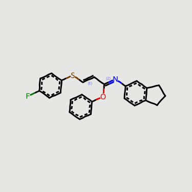 Fc1ccc(S/C=C/C(=N/c2ccc3c(c2)CCC3)Oc2ccccc2)cc1